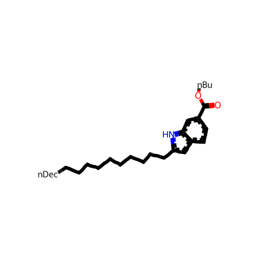 CCCCCCCCCCCCCCCCCCCCc1cc2ccc(C(=O)OCCCC)cc2[nH]1